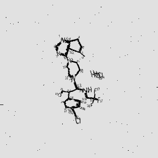 C[C@@H]1CCc2ncnc(N3CCN(C(NCC(F)(F)F)C(C=O)c4ccc(Cl)cc4)CC3)c21.Cl.Cl